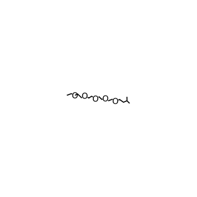 CCOCCOCCOCCOCCOCCC(C)C